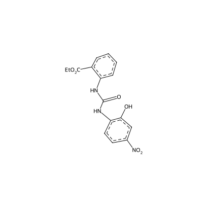 CCOC(=O)c1ccccc1NC(=O)Nc1ccc([N+](=O)[O-])cc1O